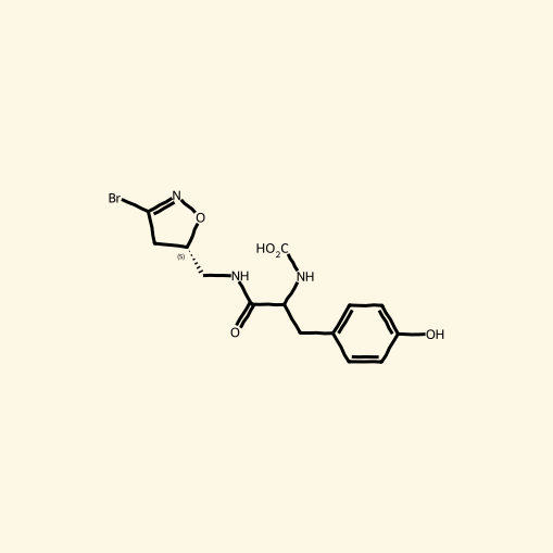 O=C(O)NC(Cc1ccc(O)cc1)C(=O)NC[C@@H]1CC(Br)=NO1